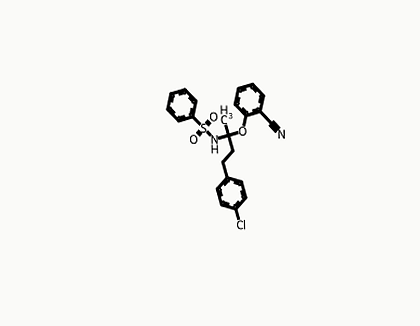 CC(CCc1ccc(Cl)cc1)(NS(=O)(=O)c1ccccc1)Oc1ccccc1C#N